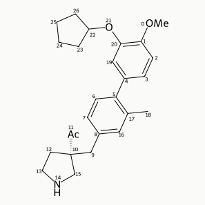 COc1ccc(-c2ccc(C[C@]3(C(C)=O)CCNC3)cc2C)cc1OC1CCCC1